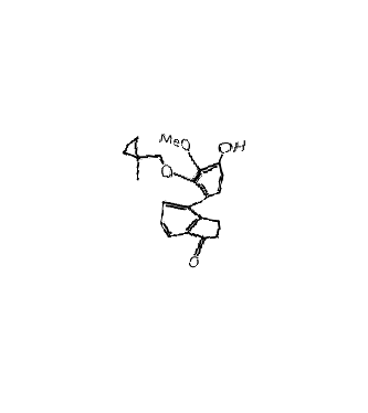 COc1c(O)ccc(-c2cccc3c2CCC3=O)c1OCC1(C)CC1